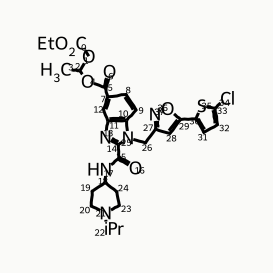 CCOC(=O)OC(C)OC(=O)c1ccc2c(c1)nc(C(=O)NC1CCN(C(C)C)CC1)n2Cc1cc(-c2ccc(Cl)s2)on1